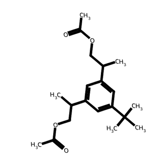 CC(=O)OCC(C)c1cc(C(C)COC(C)=O)cc(C(C)(C)C)c1